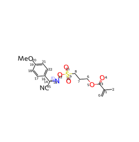 C=C(C)C(=O)OCCCS(=O)(=O)O/N=C(/C#N)c1ccc(OC)cc1